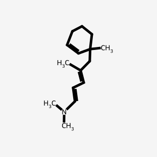 C/C(=C\C=C\N(C)C)CC1(C)C=CCCC1